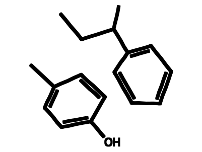 CCC(C)c1ccccc1.Cc1ccc(O)cc1